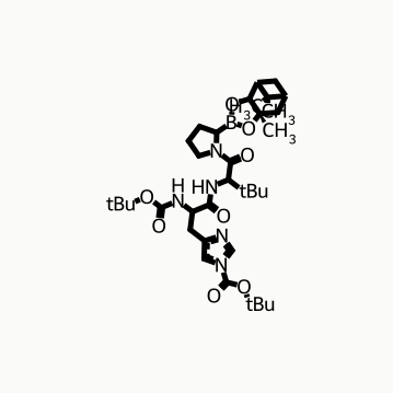 CC(C)(C)OC(=O)NC(Cc1cn(C(=O)OC(C)(C)C)cn1)C(=O)NC(C(=O)N1CCCC1B1OC2C3CC(C[C@]2(C)O1)C3(C)C)C(C)(C)C